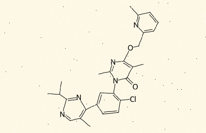 Cc1cccc(COc2nc(C)n(-c3cc(-c4nc(C(C)C)ncc4C)ccc3Cl)c(=O)c2C)n1